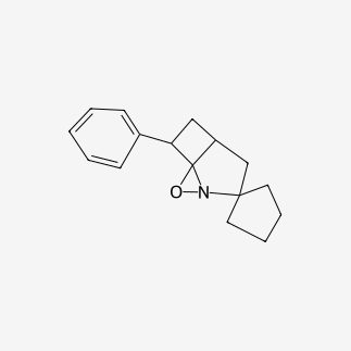 c1ccc(C2CC3CC4(CCCC4)N4OC324)cc1